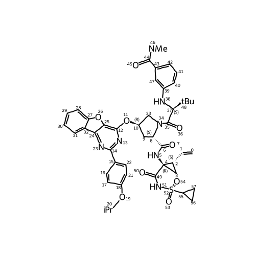 C=C[C@@H]1C[C@]1(NC(=O)[C@@H]1C[C@@H](Oc2nc(-c3ccc(OC(C)C)cc3)nc3c2oc2ccccc23)CN1C(=O)[C@@H](Nc1cccc(C(=O)NC)c1)C(C)(C)C)C(=O)NS(=O)(=O)C1CC1